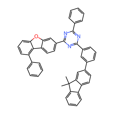 CC1(C)c2ccccc2-c2ccc(-c3cccc(-c4nc(-c5ccccc5)nc(-c5ccc6c(c5)oc5cccc(-c7ccccc7)c56)n4)c3)cc21